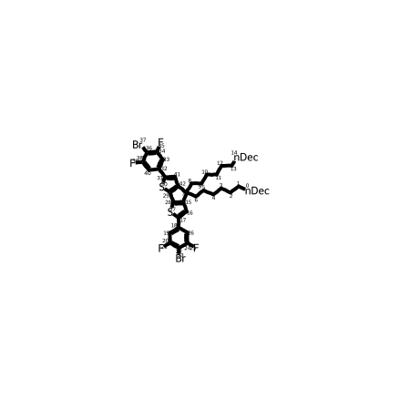 CCCCCCCCCCCCCCCCC1(CCCCCCCCCCCCCCCC)c2cc(-c3cc(F)c(Br)c(F)c3)sc2-c2sc(-c3cc(F)c(Br)c(F)c3)cc21